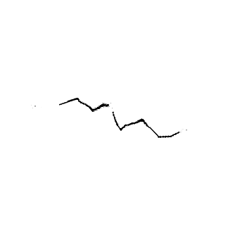 COCCNCCC[NH]